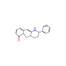 O=C1C=CC=C2C=C3NC(c4cccnc4)CCC3CC12